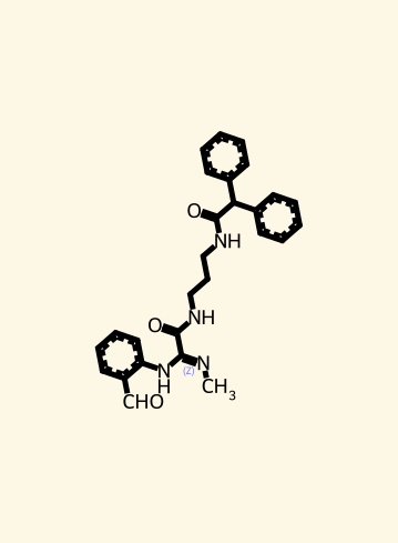 C/N=C(\Nc1ccccc1C=O)C(=O)NCCCNC(=O)C(c1ccccc1)c1ccccc1